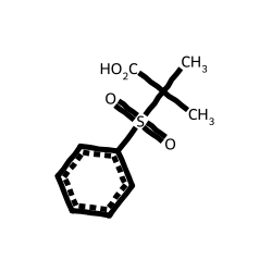 CC(C)(C(=O)O)S(=O)(=O)c1ccccc1